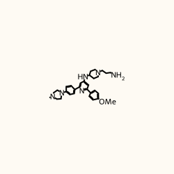 COc1ccc(-c2cc(NC3CCN(CCCN)CC3)cc(-c3ccc(N4CCN(C)CC4)cc3)n2)cc1